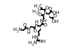 C=C(C)C(=O)N(C(=O)CNC(=O)[C@H](CCCNC(=N)N)NC(=O)CNC(=O)CN)[C@@H](CC(=O)O)C(=O)O